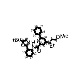 CCN(CCOC)c1cc(C(=O)Nc2ccccc2-c2ncc(C(C)(C)C)o2)nc(-c2ccccc2)c1